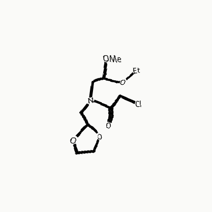 CCOC(CN(CC1OCCO1)C(=O)CCl)OC